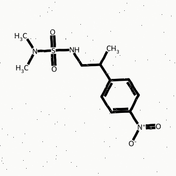 CC(CNS(=O)(=O)N(C)C)c1ccc([N+](=O)[O-])cc1